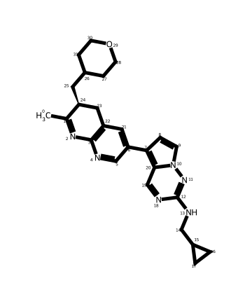 CC1=Nc2ncc(-c3ccn4nc(NCC5CC5)ncc34)cc2C[C@@H]1CC1CCOCC1